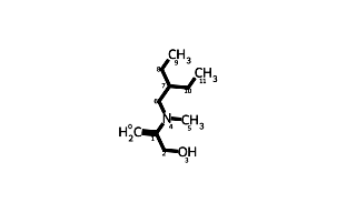 C=C(CO)N(C)CC(CC)CC